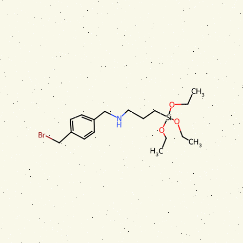 CCO[Si](CCCNCc1ccc(CBr)cc1)(OCC)OCC